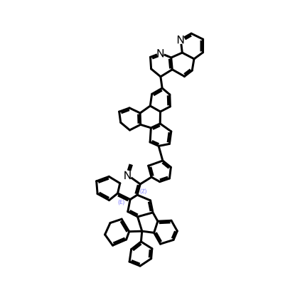 C=N/C(c1cccc(-c2ccc3c(c2)C2=C(C=CCC2)C2C=C(C4CC=NC5=C4C=CC4C=CC=NC54)C=CC32)c1)=c1/cc2c(c/c1=C1\C=CC=CC1)C(C1=CCCC=C1)(c1ccccc1)c1ccccc1-2